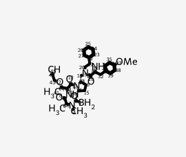 BC(=O)N(C)[C@@H](C)C(=O)N[C@H](C(=O)N1CCC[C@H]1CN(CCc1ccccc1)C(=O)[C@H](N)Cc1ccc(OC)cc1)[C@@H](C)OCC#C